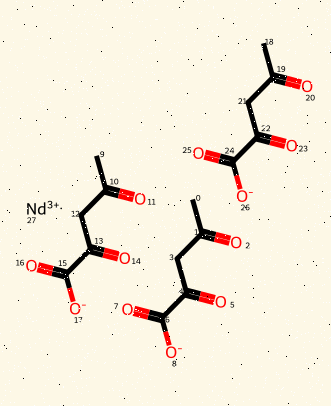 CC(=O)CC(=O)C(=O)[O-].CC(=O)CC(=O)C(=O)[O-].CC(=O)CC(=O)C(=O)[O-].[Nd+3]